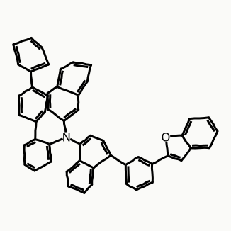 c1ccc(-c2ccc(-c3ccccc3N(c3ccc4ccccc4c3)c3ccc(-c4cccc(-c5cc6ccccc6o5)c4)c4ccccc34)cc2)cc1